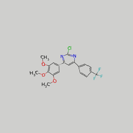 COc1cc(-c2cc(-c3ccc(C(F)(F)F)cc3)nc(Cl)n2)cc(OC)c1OC